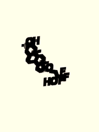 C[C@]1(O)CC[C@@]2(C)C(=CCC3C2CC[C@@]2(C)C3CC[C@@H]2OCCC(O)C(F)(F)F)C1